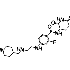 O=C1CC[C@@H](NC(=O)c2ccc(NCCNCC3CCNCC3)cc2F)C(=O)N1